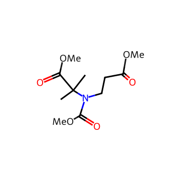 COC(=O)CCN(C(=O)OC)C(C)(C)C(=O)OC